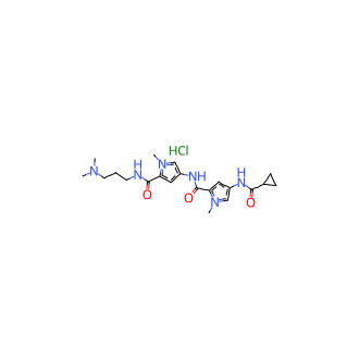 CN(C)CCCNC(=O)c1cc(NC(=O)c2cc(NC(=O)C3CC3)cn2C)cn1C.Cl